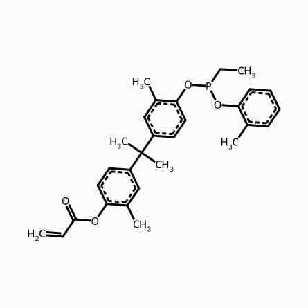 C=CC(=O)Oc1ccc(C(C)(C)c2ccc(OP(CC)Oc3ccccc3C)c(C)c2)cc1C